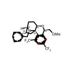 COC[C@H](O[C@@H]1CC[C@H]2[C@H](C#N)C[C@]1(c1ccccc1)N2Cc1ccccc1)c1cc(C(F)(F)F)cc(C(F)(F)F)c1